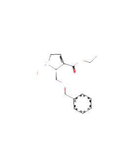 CCOC(=O)C1=CCN([S@@+](C)[O-])[C@@H]1COCc1ccccc1